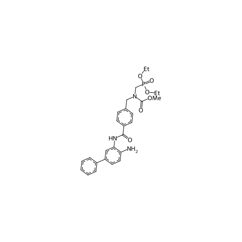 CCOP(=O)(CN(Cc1ccc(C(=O)Nc2cc(-c3ccccc3)ccc2N)cc1)C(=O)OC)OCC